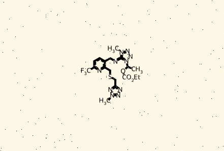 CCOC(=O)OC(C)n1nnn(C)c1=NCc1ccc(C(F)(F)F)nc1CSCc1nnn(C)n1